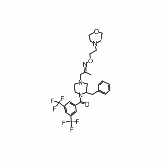 C/C(CN1CCN(C(=O)c2cc(C(F)(F)F)cc(C(F)(F)F)c2)C(Cc2ccccc2)C1)=N\OCCN1CCOCC1